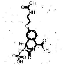 NC(=O)C1c2ccc(OCCNC(=O)O)cc2[C@H]2CN1C(=O)N2OS(=O)(=O)O